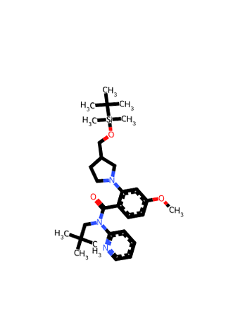 COc1ccc(C(=O)N(CC(C)(C)C)c2ccccn2)c(N2CCC(CO[Si](C)(C)C(C)(C)C)C2)c1